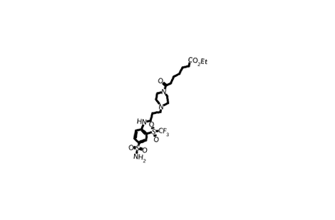 CCOC(=O)CCCCCC(=O)N1CCN(CCCNc2ccc(S(N)(=O)=O)cc2S(=O)(=O)C(F)(F)F)CC1